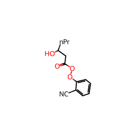 CCCC(O)CC(=O)OOc1ccccc1C#N